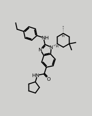 CCc1ccc(Nc2nc3cc(C(=O)NC4CCCC4)ccc3n2[C@@H]2C[C@H](C)CC(C)(C)C2)cc1